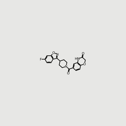 O=C1COc2ccc(C(=O)N3CCC(c4noc5cc(F)ccc45)CC3)cc2N1